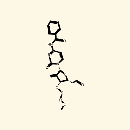 C=C1[C@@H](OSOOC)[C@@H](CC=O)O[C@H]1n1ccc(NC(=O)c2ccccc2)nc1=O